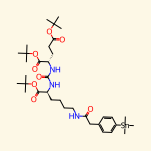 CC(C)(C)OC(=O)CC[C@H](NC(=O)N[C@@H](CCCCNC(=O)Cc1cc[c]([Sn]([CH3])([CH3])[CH3])cc1)C(=O)OC(C)(C)C)C(=O)OC(C)(C)C